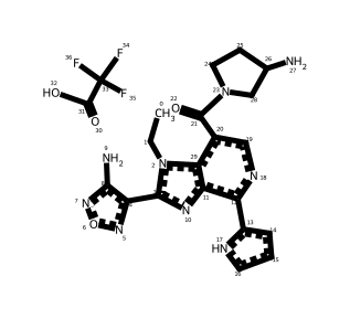 CCn1c(-c2nonc2N)nc2c(-c3ccc[nH]3)ncc(C(=O)N3CCC(N)C3)c21.O=C(O)C(F)(F)F